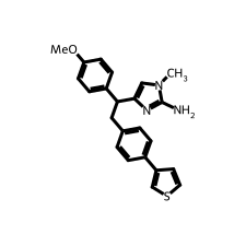 COc1ccc(C(Cc2ccc(-c3ccsc3)cc2)c2cn(C)c(N)n2)cc1